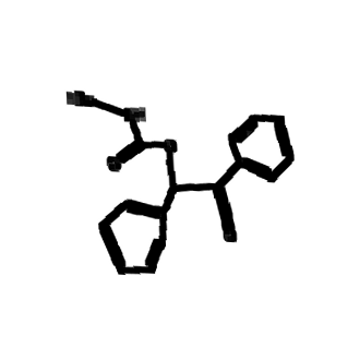 CCCCNC(=O)OC(C(=O)c1ccccc1)c1ccccc1